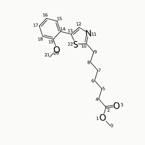 COC(=O)CCCCCCc1ncc(-c2ccccc2OC)s1